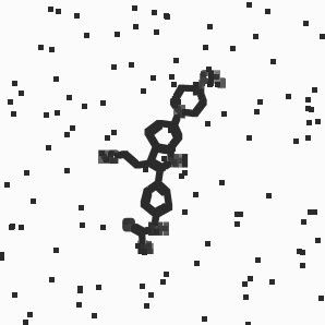 CCC(=O)Nc1ccc(-c2[nH]c3cc(N4CCN(C)CC4)ccc3c2CCC#N)cc1